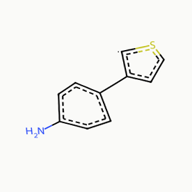 Nc1ccc(-c2[c]scc2)cc1